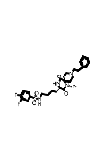 CCCN1C(=O)[C@H](CCCCNS(=O)(=O)c2ccc(F)c(F)c2)NC(=O)C12CCN(CCc1ccccc1)CC2